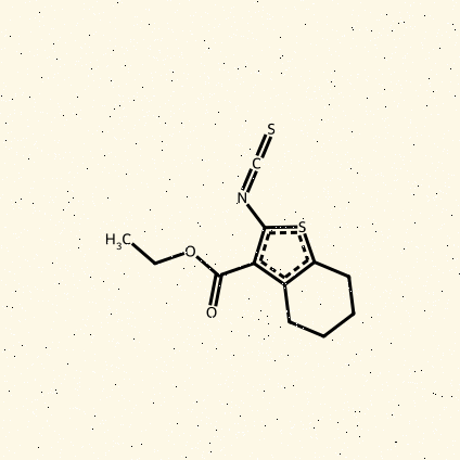 CCOC(=O)c1c(N=C=S)sc2c1CCCC2